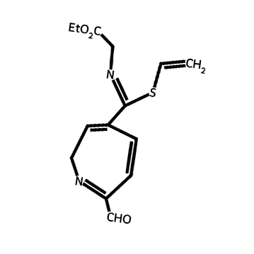 C=CS/C(=N\CC(=O)OCC)C1=CCN=C(C=O)C=C1